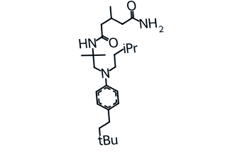 CC(C)CCN(CC(C)(C)NC(=O)CC(C)CC(N)=O)c1ccc(CCC(C)(C)C)cc1